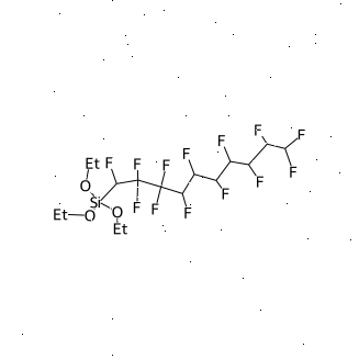 CCO[Si](OCC)(OCC)C(F)C(F)(F)C(F)(F)C(F)C(F)C(F)C(F)C(F)C(F)C(F)F